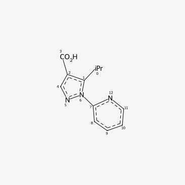 CC(C)c1c(C(=O)O)cnn1-c1ccccn1